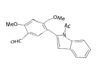 COc1cc(OC)c(-c2cc3ccccc3n2C(C)=O)cc1C=O